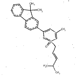 CC1=CS(=O)(C/C=C/C(C)C)=NC(c2ccc3c(c2)C(C)(C)c2ccccc2-3)=C1